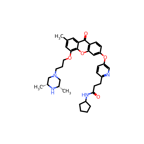 Cc1cc(OCCCN2C[C@@H](C)N[C@@H](C)C2)c2oc3cc(Oc4ccc(CCC(=O)NC5CCCC5)nc4)ccc3c(=O)c2c1